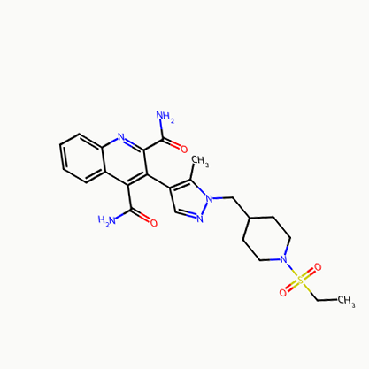 CCS(=O)(=O)N1CCC(Cn2ncc(-c3c(C(N)=O)nc4ccccc4c3C(N)=O)c2C)CC1